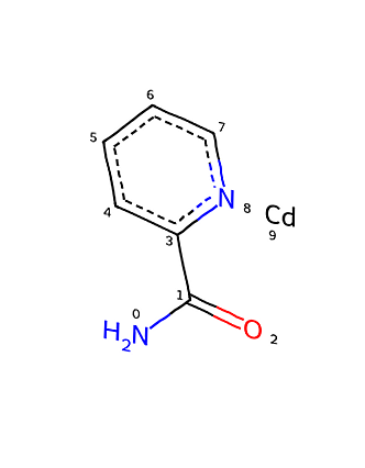 NC(=O)c1ccccn1.[Cd]